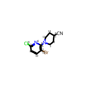 N#CC1CCN(c2nc(Cl)ccc2Br)CC1